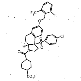 O=C(O)C1CCC(C(=O)N2CC[C@@]3(S(=O)(=O)c4ccc(Cl)cc4)c4ccc(OCc5c(F)cccc5C(F)(F)F)cc4CC[C@@H]23)CC1